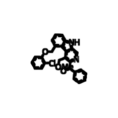 COCc1c(C(=O)c2ccccc2)ncc2[nH]c3cccc(COc4ccccc4Cl)c3c12